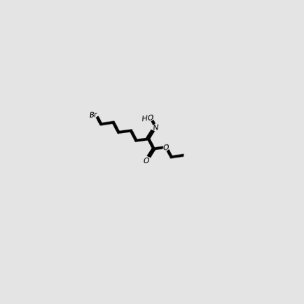 CCOC(=O)C(CCCCCBr)=NO